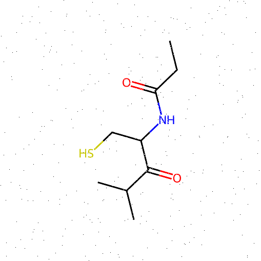 CCC(=O)NC(CS)C(=O)C(C)C